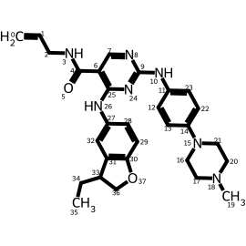 C=CCNC(=O)c1cnc(Nc2ccc(N3CCN(C)CC3)cc2)nc1Nc1ccc2c(c1)C(CC)CO2